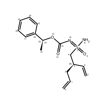 C=CC[C@H](C=C)CS(N)(=O)=NC(=O)O[C@@H](C)c1ccccc1